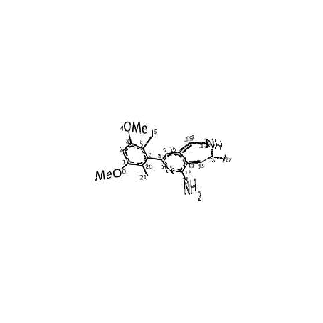 COc1cc(OC)c(I)c(-c2cc3c(c(N)n2)=CC(I)NC=3)c1C